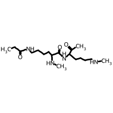 CCC(=O)NCCCCC(NC)C(=O)NC(CCCCNC)C(C)=O